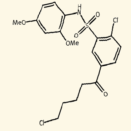 COc1ccc(NS(=O)(=O)c2cc(C(=O)CCCCCl)ccc2Cl)c(OC)c1